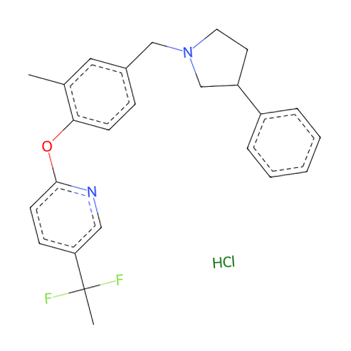 Cc1cc(CN2CCC(c3ccccc3)C2)ccc1Oc1ccc(C(C)(F)F)cn1.Cl